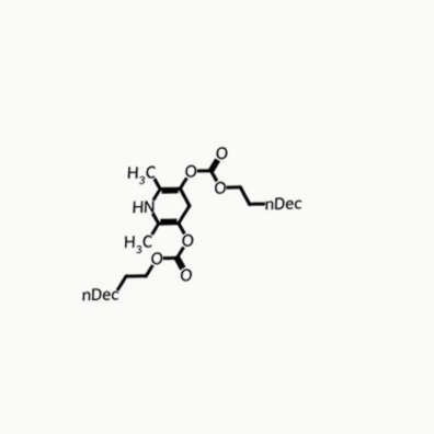 CCCCCCCCCCCCOC(=O)OC1=C(C)NC(C)=C(OC(=O)OCCCCCCCCCCCC)C1